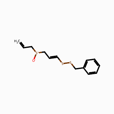 C=CC[S+]([O-])CC=CSSCc1ccccc1